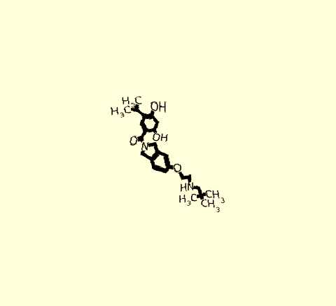 CC(C)C1=C(O)CC(O)C(C(=O)N2Cc3ccc(OCCNCC(C)(C)C)cc3C2)=C1